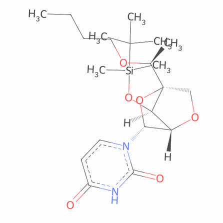 CCCCO[C@@H](C)[C@]12CO[C@H]([C@H](n3ccc(=O)[nH]c3=O)O1)[C@H]2O[Si](C)(C)C(C)(C)C